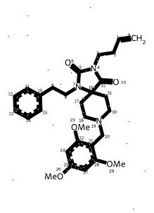 C=CCCN1C(=O)N(CCc2ccccc2)C2(CCN(Cc3c(OC)cc(OC)cc3OC)CC2)C1=O